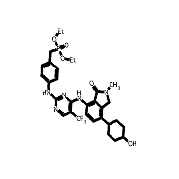 CCOP(=O)(Cc1ccc(Nc2ncc(C(F)(F)F)c(Nc3ccc(C4CCC(O)CC4)c4c3C(=O)N(C)C4)n2)cc1)OCC